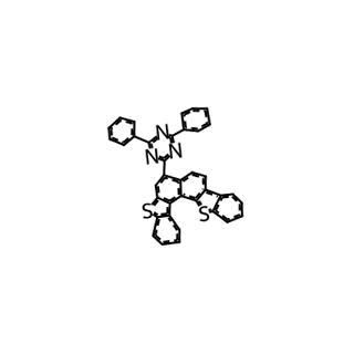 c1ccc(-c2nc(-c3ccccc3)nc(-c3cc4sc5ccccc5c4c4c3ccc3c5ccccc5sc34)n2)cc1